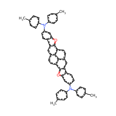 Cc1ccc(N(c2ccc(C)cc2)c2ccc3c(c2)oc2c3cc3ccc4c5oc6cc(N(c7ccc(C)cc7)c7ccc(C)cc7)ccc6c5cc5ccc2c3c54)cc1